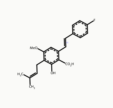 COc1cc(/C=C/c2ccc(F)cc2)c(C(=O)O)c(O)c1CC=C(C)C